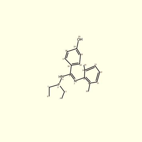 CCP(CC)N/C(=N/c1c(C)cccc1C)c1ccc(O)cc1